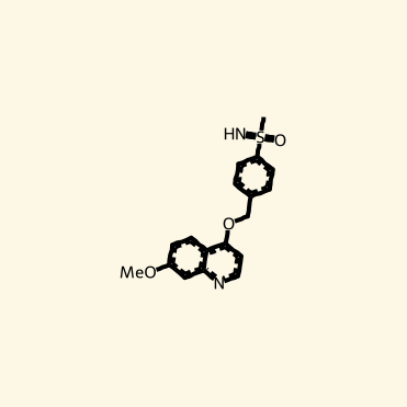 COc1ccc2c(OCc3ccc(S(C)(=N)=O)cc3)ccnc2c1